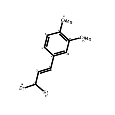 CCC(/C=C/c1ccc(OC)c(OC)c1)CC